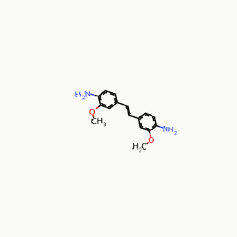 COc1cc(C=Cc2ccc(N)c(OC)c2)ccc1N